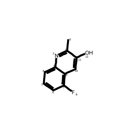 Cc1nc2cccc(F)c2cc1O